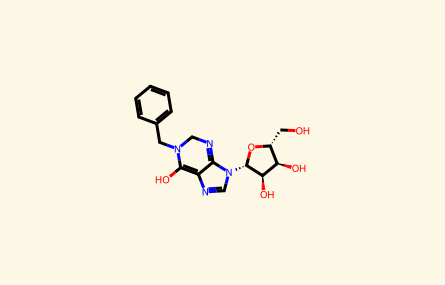 OC[C@H]1O[C@@H](n2cnc3c2=NCN(Cc2ccccc2)C=3O)[C@H](O)[C@@H]1O